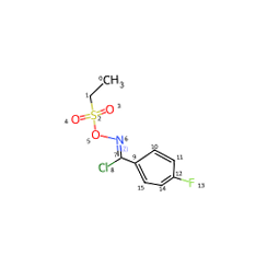 CCS(=O)(=O)O/N=C(\Cl)c1ccc(F)cc1